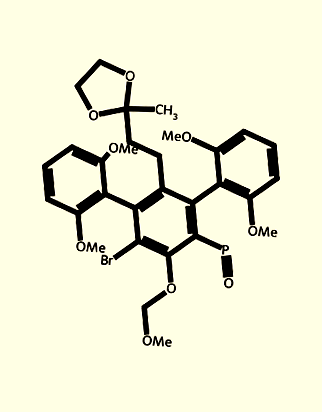 COCOc1c(Br)c(-c2c(OC)cccc2OC)c(CCC2(C)OCCO2)c(-c2c(OC)cccc2OC)c1P=O